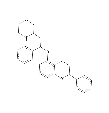 c1ccc(C2CCc3c(cccc3OC(CC3CCCCN3)c3ccccc3)O2)cc1